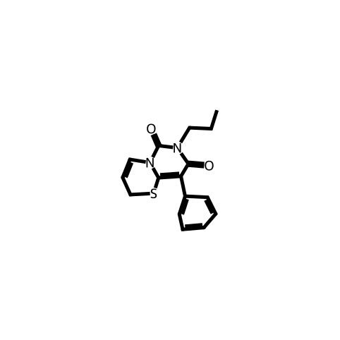 CCCn1c(=O)c(-c2ccccc2)c2n(c1=O)C=CCS2